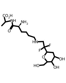 CC(NC(=O)[C@@H](N)CCCCNCC(F)(F)C1CC(O)C(O)C(CO)O1)C(=O)O